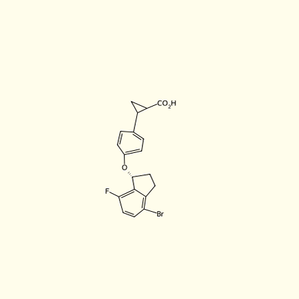 O=C(O)C1CC1c1ccc(O[C@@H]2CCc3c(Br)ccc(F)c32)cc1